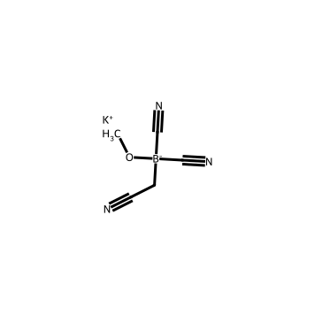 CO[B-](C#N)(C#N)CC#N.[K+]